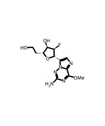 COc1nc(N)nn2c([C@@H]3O[C@H](CCO)[C@@H](O)[C@H]3F)cnc12